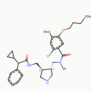 COCCCOc1cc(C(=O)N(C[C@@H]2CNC[C@H]2CNC(=O)C(c2ccccc2)C2CC2)C(C)C)c(Cl)cc1OC